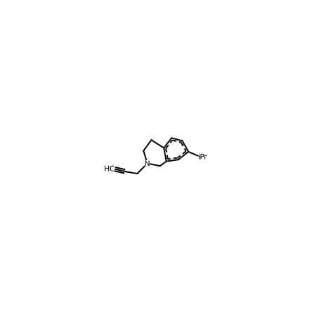 C#CCN1CCc2ccc(C(C)C)cc2C1